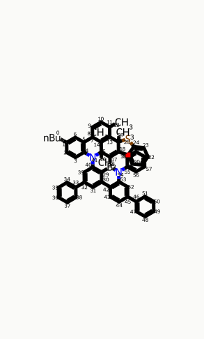 CCCCc1ccc2c(c1)C1(C)C=CC(C)C3=C1C1(C)C(=C4c5ccccc5SC43C)B3c4c(cc(-c5ccccc5)cc4N21)-c1ccc(-c2ccccc2)cc1N3c1ccccc1